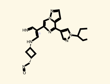 CCC(CC)n1cc(-c2nc(/C(C=N)=C/N[C@H]3C[C@@H](CN=O)C3)cn3nccc23)cn1